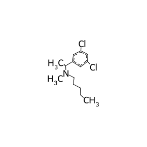 CCCCCN(C)[C@@H](C)c1cc(Cl)cc(Cl)c1